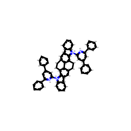 c1ccc(-c2cc(-c3ccccc3)nc(-n3c4ccccc4c4cc5c6c(c43)CCc3cc4c7ccccc7n(-c7cc(-c8ccccc8)cc(-c8ccccc8)n7)c4c(c3-6)CC5)c2)cc1